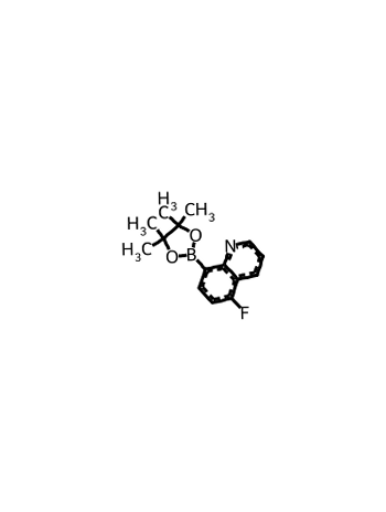 CC1(C)OB(c2ccc(F)c3cccnc23)OC1(C)C